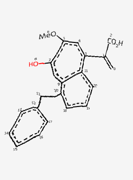 C=C(C(=O)O)c1cc(OC)c(O)c2c(Cc3ccccc3)cccc12